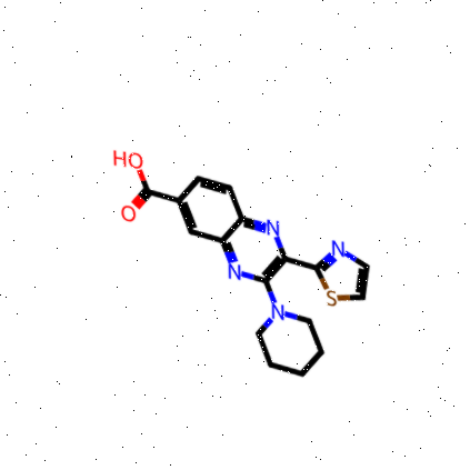 O=C(O)c1ccc2nc(-c3nccs3)c(N3CCCCC3)nc2c1